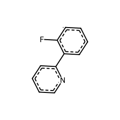 Fc1[c]cccc1-c1ccccn1